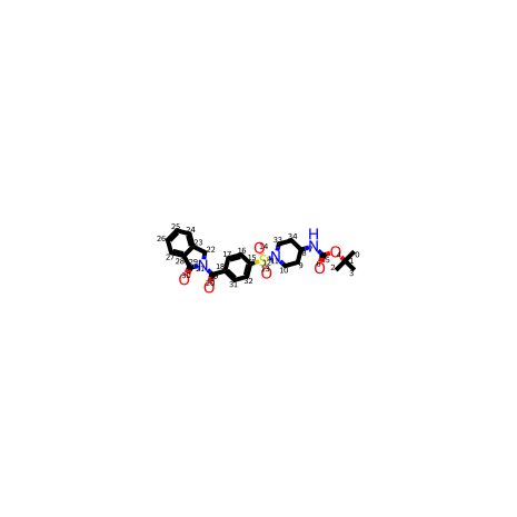 CC(C)(C)OC(=O)NC1CCN(S(=O)(=O)c2ccc(C(=O)N3Cc4ccccc4C3=O)cc2)CC1